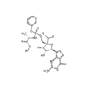 CC(C)OC(=O)[C@H](C)NP(=O)(OC[C@@]1(C(F)F)O[C@@H](n2cnc3c(=O)[nH]c(N)nc32)[C@H](O)[C@H]1F)Oc1ccccc1